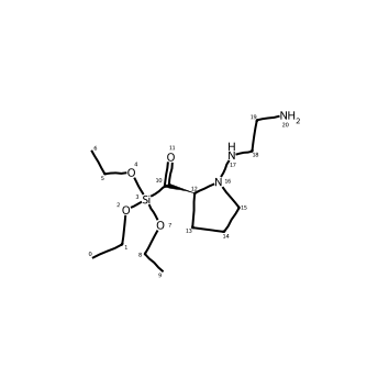 CCO[Si](OCC)(OCC)C(=O)[C@@H]1CCCN1NCCN